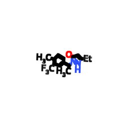 CCc1cc(=O)n(C(C)c2ccc(C)c(C(F)(F)F)c2)[nH]1